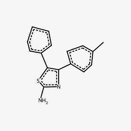 Cc1ccc(-c2nc(N)sc2-c2ccccc2)cc1